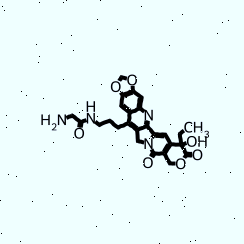 CCC1(O)C(=O)OCc2c1cc1n(c2=O)Cc2c-1nc1cc3c(cc1c2CCCNC(=O)CN)OCO3